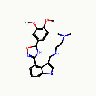 CCOc1ccc(C2NC(c3cccc4[nH]cc(CNCCN(C)C)c34)=NO2)cc1OCC